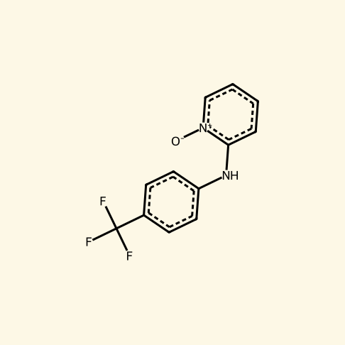 [O-][n+]1ccccc1Nc1ccc(C(F)(F)F)cc1